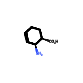 N[C@H]1C=CCC[C@H]1C(=O)O